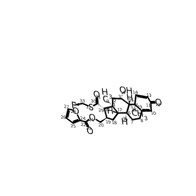 C[C@]12C[C@H](O)[C@H]3[C@@H](CCC4=CC(=O)C=C[C@@]43C)[C@@H]1C[C@@H](COC(=O)c1ccco1)[C@@H]2C(=O)SCF